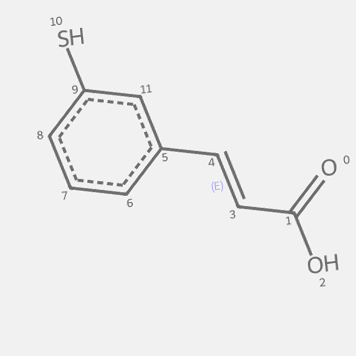 O=C(O)/C=C/c1cccc(S)c1